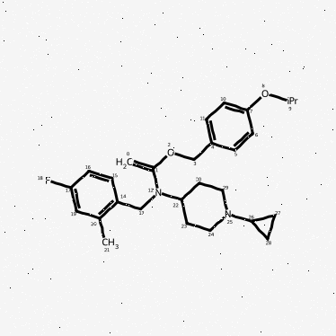 C=C(OCc1ccc(OC(C)C)cc1)N(Cc1ccc(F)cc1C)C1CCN(C2CC2)CC1